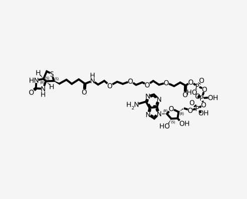 Nc1ncnc2c1ncn2[C@@H]1O[C@H](COP(=O)(O)OP(=O)(O)OP(=O)(O)OC(=O)CCOCCOCCOCCOCCNC(=O)CCCC[C@@H]2SC[C@@H]3NC(=O)N[C@@H]32)C(O)[C@@H]1O